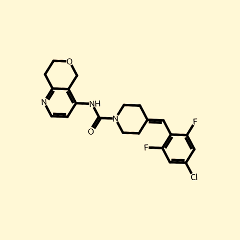 O=C(Nc1ccnc2c1COCC2)N1CCC(=Cc2c(F)cc(Cl)cc2F)CC1